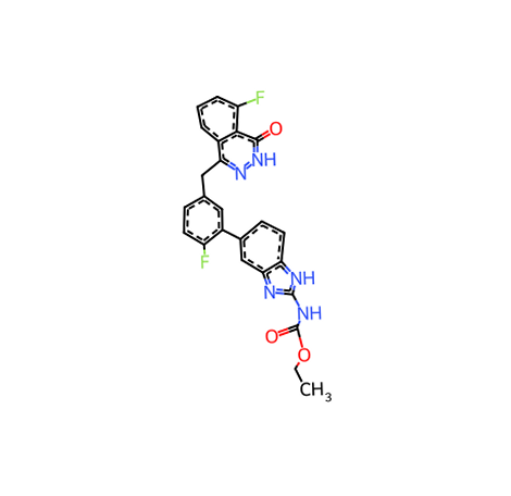 CCOC(=O)Nc1nc2cc(-c3cc(Cc4n[nH]c(=O)c5c(F)cccc45)ccc3F)ccc2[nH]1